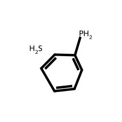 Pc1ccccc1.S